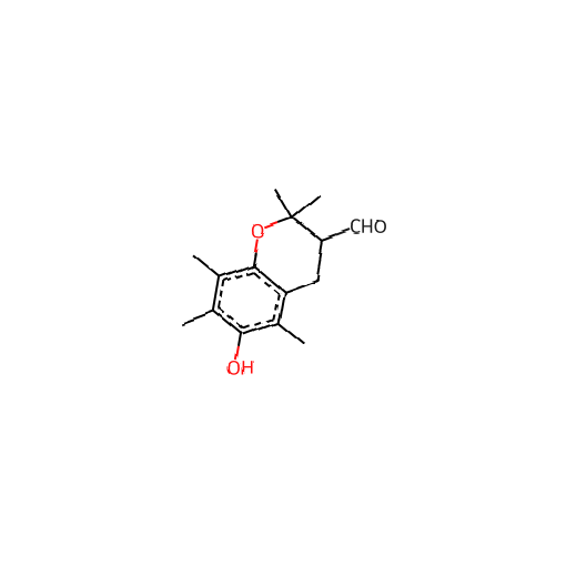 Cc1c(C)c2c(c(C)c1O)CC(C=O)C(C)(C)O2